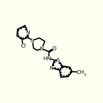 Cc1ccc2nc(NC(=O)N3CCN(c4ncccc4Cl)CC3)sc2c1